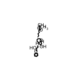 CC(C)OC(=O)CCCCC[C@H]1CC[C@@H]2[C@@H](/C=C/[C@@H](O)COc3ccccc3)[C@H](O)C[C@@H]2OC1